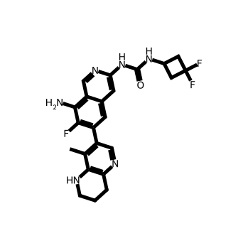 Cc1c(-c2cc3cc(NC(=O)NC4CC(F)(F)C4)ncc3c(N)c2F)cnc2c1NCCC2